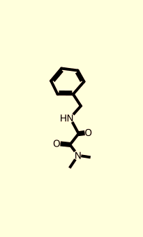 CN(C)C(=O)C(=O)NCc1ccccc1